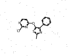 Cc1nc(-c2ccccc2)c(Oc2ccnc(Cl)n2)s1